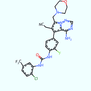 N#CCc1c(-c2ccc(NC(=O)Nc3cc(C(F)(F)F)ccc3Cl)c(F)c2)c2c(N)ncnn2c1CN1CCOCC1